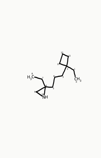 CCC1(CCCC2(CC)CN2)CCC1